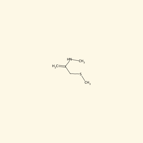 C=C(CSC)NC